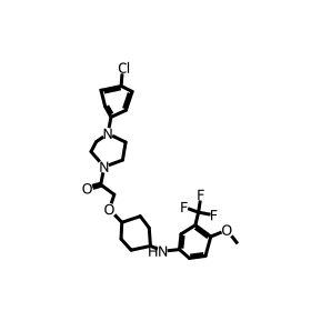 COc1ccc(NC2CCC(OCC(=O)N3CCN(c4ccc(Cl)cc4)CC3)CC2)cc1C(F)(F)F